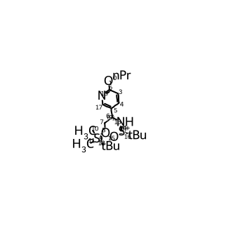 CCCOc1ccc([C@H](CO[Si](C)(C)C(C)(C)C)N[S@+]([O-])C(C)(C)C)cn1